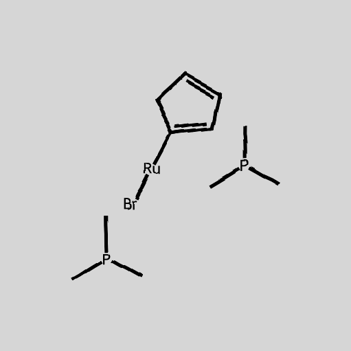 CP(C)C.CP(C)C.[Br][Ru][C]1=CC=CC1